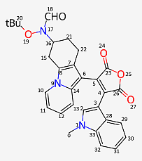 Cn1cc(C2=C(c3c4c(n5ccccc35)CC(N(C=O)OC(C)(C)C)CC4)C(=O)OC2=O)c2ccccc21